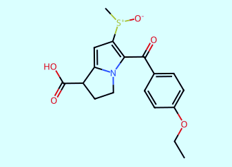 CCOc1ccc(C(=O)c2c([S+](C)[O-])cc3n2CCC3C(=O)O)cc1